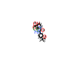 CC1(C)COc2cc(NC(=O)N3C=CC=C(C(=O)O)C3(Cl)Cl)ccc21